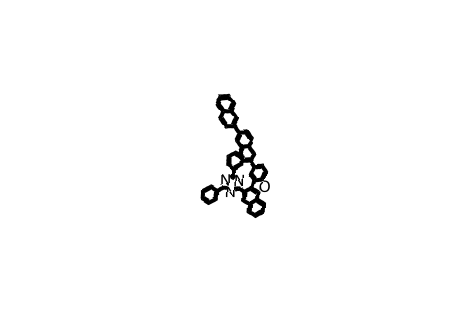 c1ccc(-c2nc(-c3ccccc3)nc(-c3cc4ccccc4c4oc5ccc(-c6ccc7cc(-c8ccc9ccccc9c8)ccc7c6)cc5c34)n2)cc1